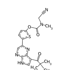 CN(CC#N)C(=O)Oc1ccc(-c2cnc3[nH]cc(C(=O)C(C)(C)C)c3n2)s1